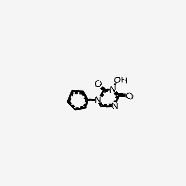 O=c1ncn(-c2ccccc2)c(=O)n1O